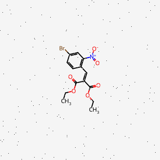 CCOC(=O)C(=Cc1ccc(Br)cc1[N+](=O)[O-])C(=O)OCC